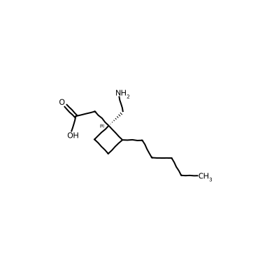 CCCCCC1CC[C@@]1(CN)CC(=O)O